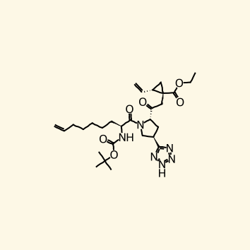 C=CCCCCC[C@H](NC(=O)OC(C)(C)C)C(=O)N1C[C@H](c2nn[nH]n2)C[C@H]1C(=O)C[C@]1(C(=O)OCC)C[C@H]1C=C